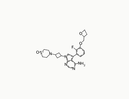 Nc1ncnc2c1c(-c1cccc(OCC3CCO3)c1F)cn2C1CC(N2CC[S+]([O-])CC2)C1